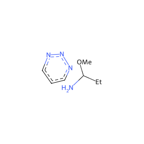 CCC(N)OC.c1cnnnc1